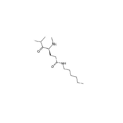 CCCCCCNC(=O)CC[C@H](NC)C(=O)C(C)C